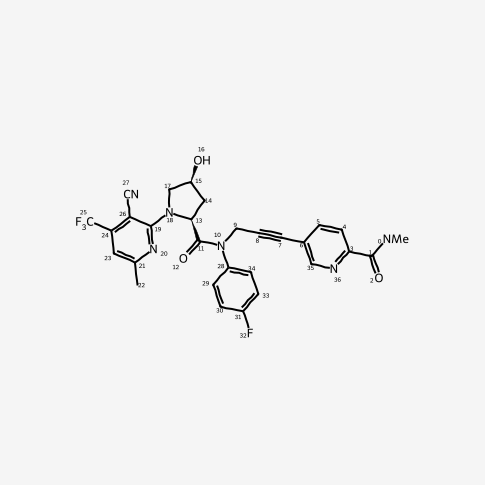 CNC(=O)c1ccc(C#CCN(C(=O)[C@@H]2C[C@H](O)CN2c2nc(C)cc(C(F)(F)F)c2C#N)c2ccc(F)cc2)cn1